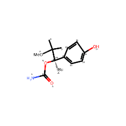 COC(C)(C)[C@](OC(N)=O)(c1ccc(O)cc1)C(C)(C)C